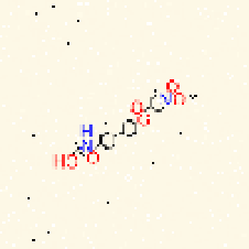 CCOC(=O)N1CCC(C2OCc3cc(-c4ccc(C(=O)NC(C)(C)CO)cc4)ccc3O2)CC1